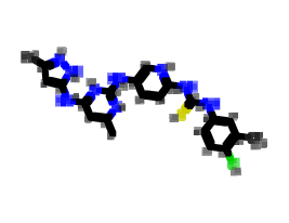 CCc1cc(Nc2cc(C)nc(Nc3ccc(NC(=S)Nc4ccc(Cl)c(C(F)(F)F)c4)nc3)n2)[nH]n1